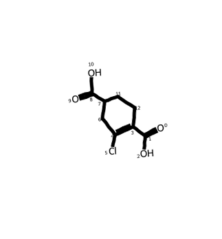 O=C(O)C1=C(Cl)CC(C(=O)O)CC1